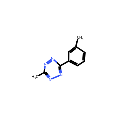 Cc1cccc(-c2nnc(C)nn2)c1